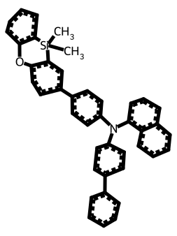 C[Si]1(C)c2ccccc2Oc2ccc(-c3ccc(N(c4ccc(-c5ccccc5)cc4)c4cccc5ccccc45)cc3)cc21